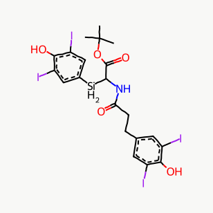 CC(C)(C)OC(=O)C(NC(=O)CCc1cc(I)c(O)c(I)c1)[SiH2]c1cc(I)c(O)c(I)c1